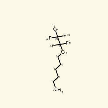 CCCCCCOC(F)(F)C([O])(F)F